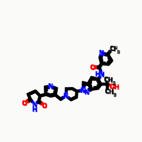 CC(C)(O)c1cc2nn(C3CCN(Cc4cncc(C5CCC(=O)NC5=O)c4)CC3)cc2cc1NC(=O)c1ccc(C(F)(F)F)nc1